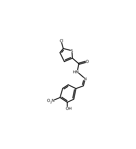 O=C(N/N=C\c1ccc([N+](=O)[O-])c(O)c1)c1ccc(Cl)s1